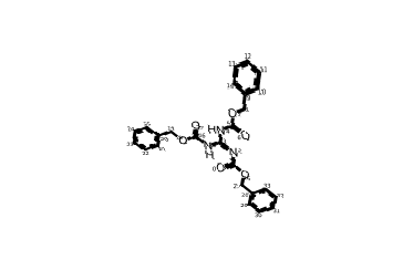 O=C(N=C(NC(=O)OCc1ccccc1)NC(=O)OCc1ccccc1)OCc1ccccc1